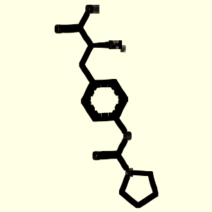 N[C@@H](Cc1ccc(OC(=O)N2CCCC2)cc1)C(=O)O